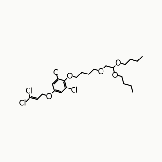 CCCCOC(COCCCCOc1c(Cl)cc(OCC=C(Cl)Cl)cc1Cl)OCCCC